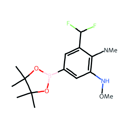 CNc1c(NOC)cc(B2OC(C)(C)C(C)(C)O2)cc1C(F)F